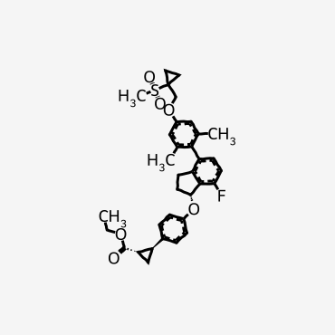 CCOC(=O)[C@H]1C[C@@H]1c1ccc(O[C@@H]2CCc3c(-c4c(C)cc(OCC5(S(C)(=O)=O)CC5)cc4C)ccc(F)c32)cc1